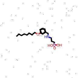 CCCCCCCCOc1cccc(CNCCCP(=O)(O)O)c1